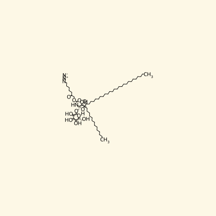 CCCCCCCCCCCCCCCCCCCCCCCCCC(=O)[C@@](O)(CCCCCCCCCCCCCC)[C@@H](O)[C@H](CO[C@@H]1O[C@H](CO)[C@H](O)[C@H](O)[C@H]1O)NC(=O)OCC(=O)CCCCCN=[N+]=[N-]